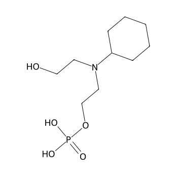 O=P(O)(O)OCCN(CCO)C1CCCCC1